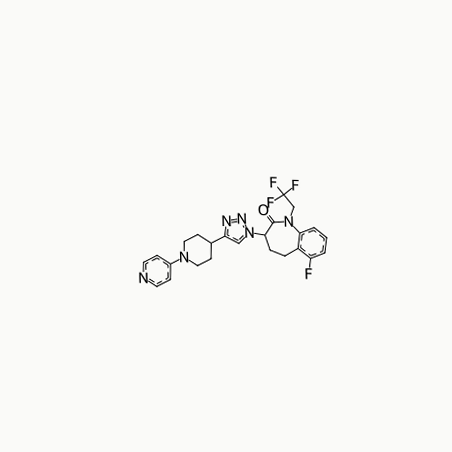 O=C1C(n2cc(C3CCN(c4ccncc4)CC3)nn2)CCc2c(F)cccc2N1CC(F)(F)F